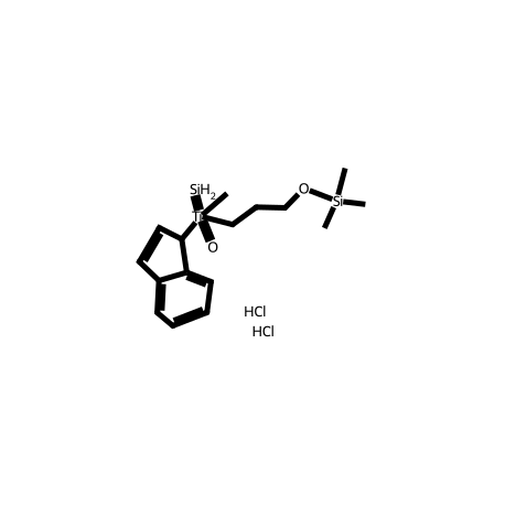 C[Si](C)(C)OCC[CH2][Ti]([CH3])(=[O])(=[SiH2])[CH]1C=Cc2ccccc21.Cl.Cl